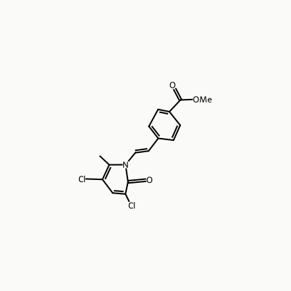 COC(=O)c1ccc(/C=C/n2c(C)c(Cl)cc(Cl)c2=O)cc1